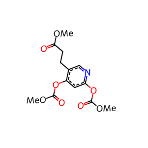 COC(=O)CCc1cnc(OC(=O)OC)cc1OC(=O)OC